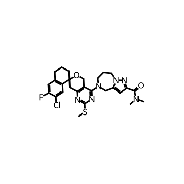 CSc1nc2c(c(N3CCCn4nc(C(=O)N(C)C)cc4C3)n1)COC1(CCCc3cc(F)c(Cl)cc31)C2